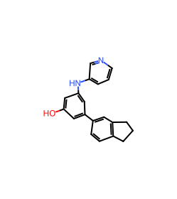 Oc1cc(Nc2cccnc2)cc(-c2ccc3c(c2)CCC3)c1